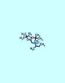 CCC(C)NC[SiH](OC(C)(C)C)OC(C)(C)C